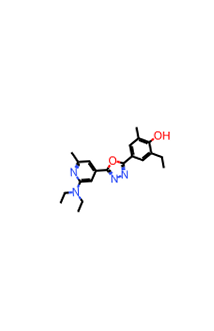 CCc1cc(-c2nnc(-c3cc(C)nc(N(CC)CC)c3)o2)cc(C)c1O